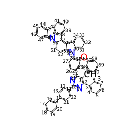 Cc1c(-c2ccccc2)nc(-c2ccc(-c3ccccc3)cc2)nc1-c1ccc(-n2c3ccccc3c3c4c5cccc6c7ccccc7n(c4ccc32)c65)c2oc3ccccc3c12